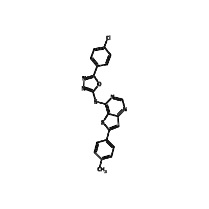 Cc1ccc(-c2cc3ncnc(Sc4nnc(-c5ccc(Cl)cc5)o4)c3s2)cc1